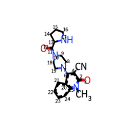 Cn1c(=O)c(C#N)c(N2CCN(C(=O)C3CCCN3)CC2)c2ccccc21